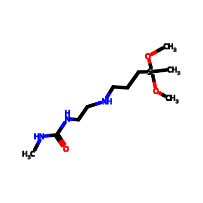 CNC(=O)NCCNCCC[Si](C)(OC)OC